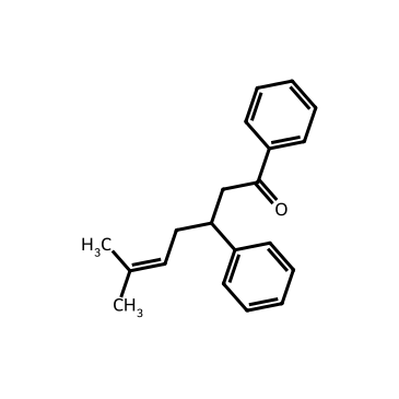 CC(C)=CCC(CC(=O)c1ccccc1)c1ccccc1